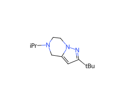 CC(C)N1CCn2nc(C(C)(C)C)cc2C1